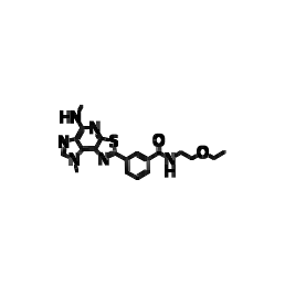 CCOCCNC(=O)c1cccc(-c2nc3c(nc(NC)c4ncn(C)c43)s2)c1